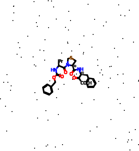 CC(C)C(NC(=O)OCc1ccccc1)C(=O)N1CSC[C@H]1C(=O)N[C@@H](Cc1ccccc1)C(=O)C(=O)O